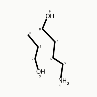 CCCO.NCCCCO